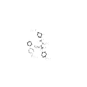 CCCCN1CC[C@@H](c2ccccc2)[C@H](CO)C1.Cc1ccc(OC(=O)C(O)C(O)C(=O)Oc2ccc(C)cc2)cc1